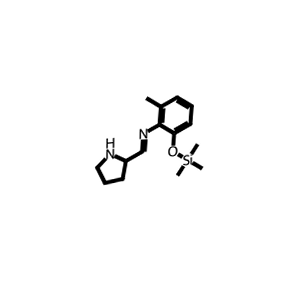 Cc1cccc(O[Si](C)(C)C)c1N=CC1CCCN1